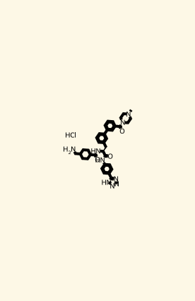 CN1CCN(C(=O)c2cccc(-c3cccc(C[C@H](NC(=O)C4CCC(CN)CC4)C(=O)Nc4ccc(-c5nnn[nH]5)cc4)c3)c2)CC1.Cl